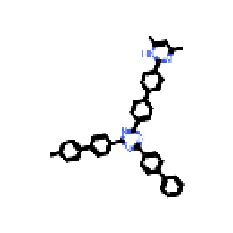 CC1=CC(C)=NC(C2=CCC(C3C=CC(c4nc(-c5ccc(C6=CCC(C)C=C6)cc5)nc(-c5ccc(-c6ccccc6)cc5)n4)=CC3)C=C2)N1